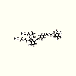 Cc1c(CCCC(=O)O)c2c(F)ccc(C#Cc3ccc(OCCCCc4c(F)c(F)c(F)c(F)c4F)cc3)c2n1CC1(CC(=O)O)CC1